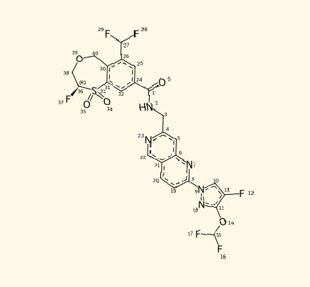 O=C(NCc1cc2nc(-n3cc(F)c(OC(F)F)n3)ccc2cn1)c1cc(C(F)F)c2c(c1)S(=O)(=O)[C@@H](F)COC2